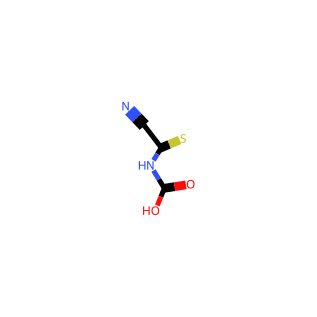 N#CC(=S)NC(=O)O